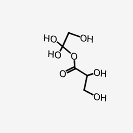 O=C(OC(O)(O)CO)C(O)CO